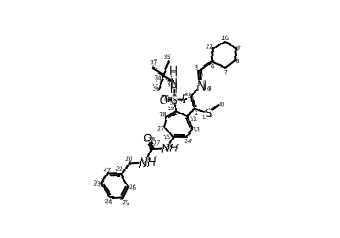 CS/C(=C\N=C\C1CCCCC1)C1=CC=C(NC(=O)NCc2ccccc2)CC=C1[SH](=O)(F)NC(C)(C)C